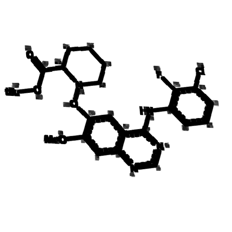 COc1cc2ncnc(Nc3cccc(Cl)c3F)c2cc1ON1CCCCC1C(=O)OC(C)(C)C